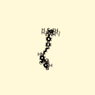 CC1(C)CC(C)(C)C1NC(=O)c1ccc(N2CCN(CCCCCNc3ccc4c(c3)C(=O)N(C3CCC(=O)NC3=O)C4=O)CC2)cc1